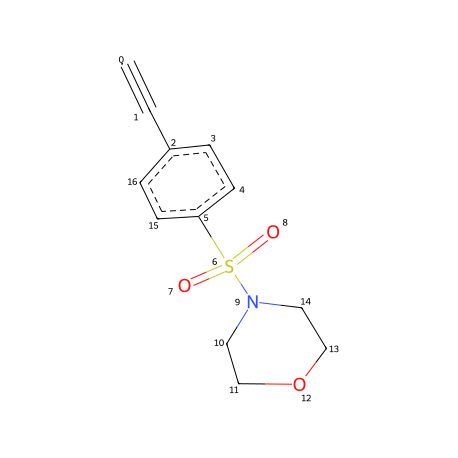 [C]#Cc1ccc(S(=O)(=O)N2CCOCC2)cc1